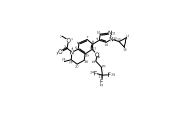 COC(=O)N1c2ccc(-c3cnn(C4CC4)c3)c(OCCC(F)(F)F)c2CCC1C